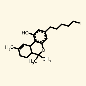 CC1=CC2c3c(O)cc(CCCCCI)cc3OC(C)(C)C2CC1